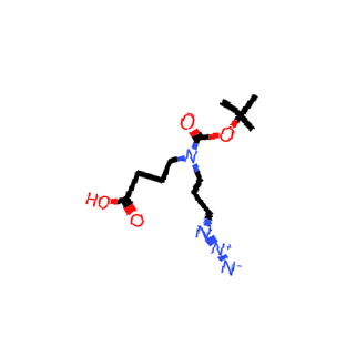 CC(C)(C)OC(=O)N(CCCN=[N+]=[N-])CCCC(=O)O